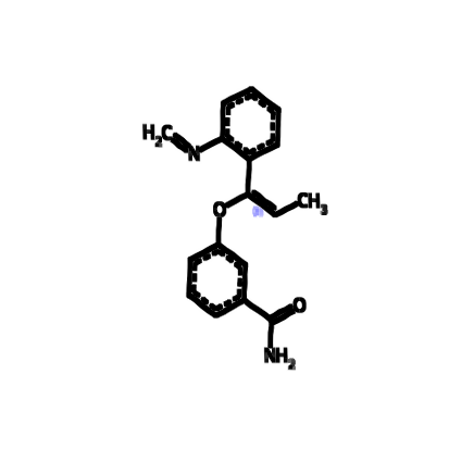 C=Nc1ccccc1/C(=C\C)Oc1cccc(C(N)=O)c1